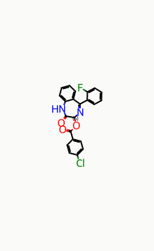 O=C(O[C@@H]1N=C(c2ccccc2F)c2ccccc2NC1=O)c1ccc(Cl)cc1